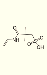 C=CNC(=O)C(C)(C)CS(=O)(=O)O